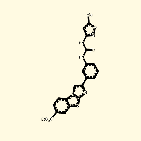 CCOC(=O)c1ccc2c(c1)sc1nc(-c3cccc(NC(=O)Nc4cc(C(C)(C)C)on4)c3)cn12